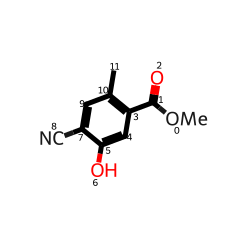 COC(=O)c1cc(O)c(C#N)cc1C